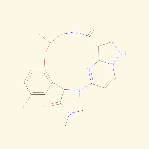 CC1CNC(=O)C2=C3N=C(C=CN3NC2)NC(C(=O)N(C)C)c2cc(F)ccc2O1